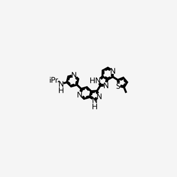 Cc1ccc(-c2nccc3[nH]c(-c4n[nH]c5cnc(-c6cncc(NC(C)C)c6)cc45)nc23)s1